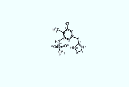 Cc1c(Cl)cc(CC2=NCCN2)cc1NS(C)(=O)=O